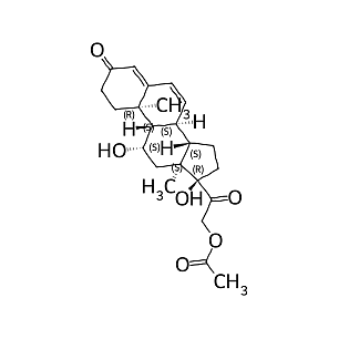 CC(=O)OCC(=O)[C@@]1(O)CC[C@H]2[C@@H]3C=CC4=CC(=O)CC[C@]4(C)[C@H]3[C@@H](O)C[C@@]21C